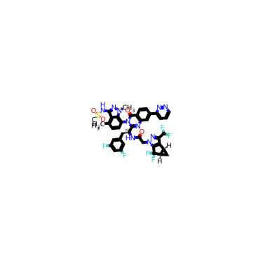 Cc1ccc(-n2c([C@H](Cc3cc(F)cc(F)c3)NC(=O)Cn3nc(C(F)F)c4c3C(F)(F)[C@@H]3C[C@H]43)nc3cc(-c4cccnn4)ccc3c2=O)c2c1c(NS(C)(=O)=O)nn2C